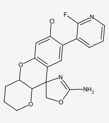 NC1=NC2(CO1)c1cc(-c3cccnc3F)c(Cl)cc1OC1CCCOC12